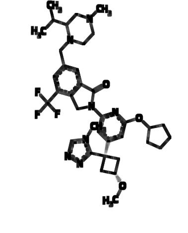 CO[C@H]1C[C@](c2cc(OC3CCCC3)nc(N3Cc4c(cc(CN5CCN(C)CC5C(C)C)cc4C(F)(F)F)C3=O)c2)(c2nncn2C)C1